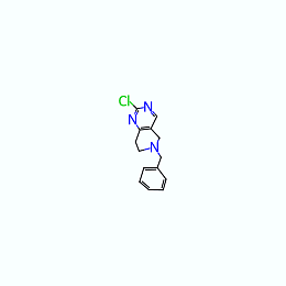 Clc1ncc2c(n1)CCN(Cc1ccccc1)C2